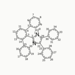 Cn1c(-c2c(-c3ccccc3)cccc2-c2ccccc2)nc(-c2ccccc2)c1-c1ccccc1